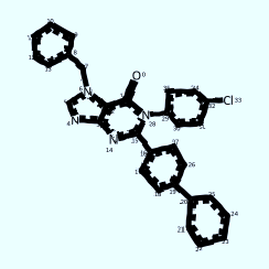 O=c1c2c(ncn2Cc2ccccc2)nc(-c2ccc(-c3ccccc3)cc2)n1-c1ccc(Cl)cc1